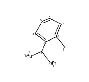 CCCCC(CCC)c1ccccc1C